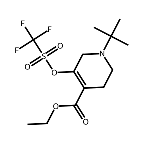 CCOC(=O)C1=C(OS(=O)(=O)C(F)(F)F)CN(C(C)(C)C)CC1